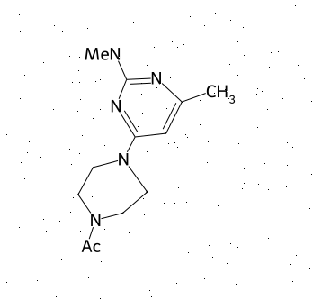 CNc1nc(C)cc(N2CCN(C(C)=O)CC2)n1